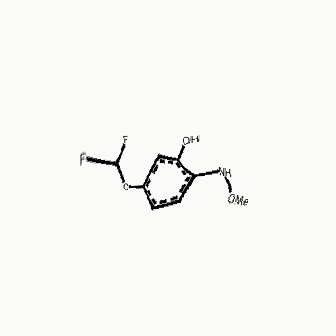 CONc1ccc(OC(F)F)cc1O